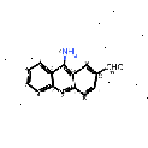 Nc1c2ccccc2cc2ccc(C=O)cc12